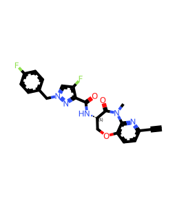 C#Cc1ccc2c(n1)N(C)C(=O)[C@@H](NC(=O)c1nn(Cc3ccc(F)cc3)cc1F)CO2